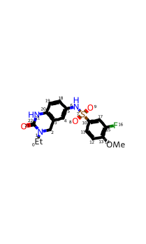 CCN1Cc2cc(NS(=O)(=O)c3ccc(OC)c(F)c3)ccc2NC1=O